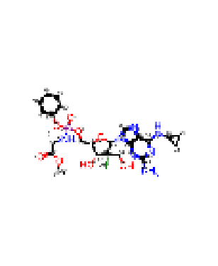 CC(C)OC(=O)[C@H](C)N[P@@](=O)(OC[C@H]1O[C@@H](n2cnc3c(NC4CC4)nc(N)nc32)[C@@](F)(CO)[C@@H]1O)Oc1ccccc1